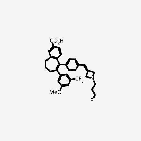 COc1cc(C2=C(c3ccc(C=C4CN(CCCF)C4)cc3)c3ccc(C(=O)O)cc3CCC2)cc(C(F)(F)F)c1